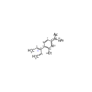 C=C/C(=C\C)c1ccc(N(CCC)C(C)=O)nc1CC